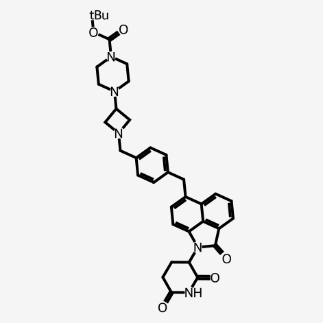 CC(C)(C)OC(=O)N1CCN(C2CN(Cc3ccc(Cc4ccc5c6c(cccc46)C(=O)N5C4CCC(=O)NC4=O)cc3)C2)CC1